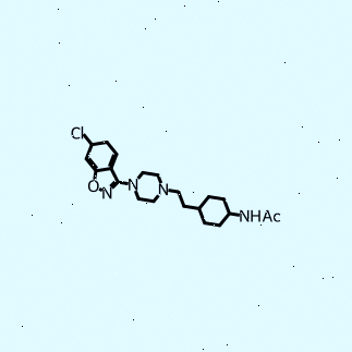 CC(=O)NC1CCC(CCN2CCN(c3noc4c3=CCC(Cl)C=4)CC2)CC1